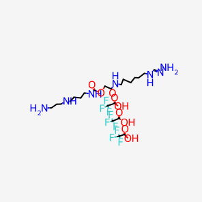 NCCCNCCCCNC(=O)OCC(=O)NCCCCCCNC=NN.O=C(O)C(F)(F)F.O=C(O)C(F)(F)F.O=C(O)C(F)(F)F